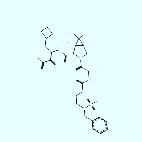 CC(C)(C)[C@H](NC(=O)N[C@H](CN(Cc1ccccc1)S(C)(=O)=O)C(C)(C)C)C(=O)N1C[C@H]2[C@@H]([C@H]1C(=O)NC(CC1CCC1)C(=O)C(N)=O)C2(C)C